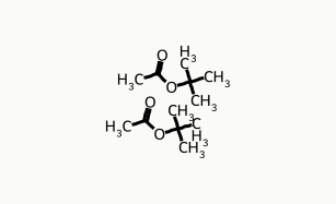 CC(=O)OC(C)(C)C.CC(=O)OC(C)(C)C